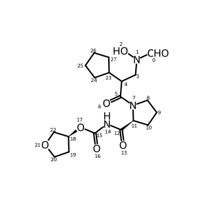 O=CN(O)CC(C(=O)N1CCC[C@H]1C(=O)NC(=O)O[C@H]1CCOC1)C1CCCC1